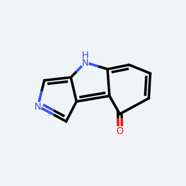 O=C1C=CC=c2[nH]c3c(c21)C=NC=3